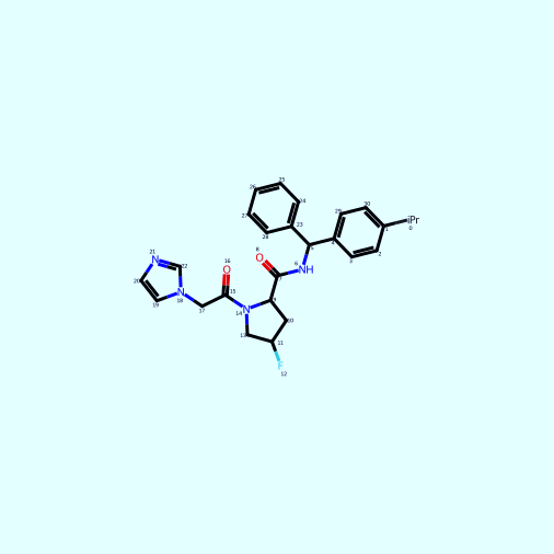 CC(C)c1ccc(C(NC(=O)C2CC(F)CN2C(=O)Cn2ccnc2)c2ccccc2)cc1